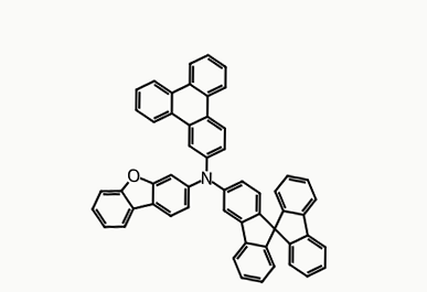 c1ccc2c(c1)-c1ccccc1C21c2ccccc2-c2cc(N(c3ccc4c(c3)oc3ccccc34)c3ccc4c5ccccc5c5ccccc5c4c3)ccc21